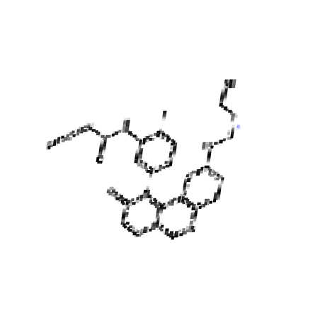 Cc1ccc(-n2c(=O)ccc3cnc4ccc(N/C=C\C=N)cc4c32)cc1NC(=O)N=C=S